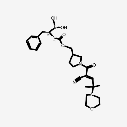 CC(C)(C=C(C#N)C(=O)N1CCC(COC(=O)N[C@@H](Cc2ccccc2)B(O)O)C1)N1CCOCC1